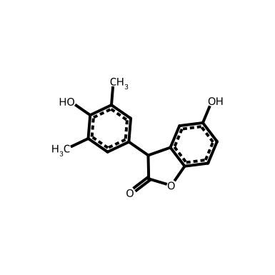 Cc1cc(C2C(=O)Oc3ccc(O)cc32)cc(C)c1O